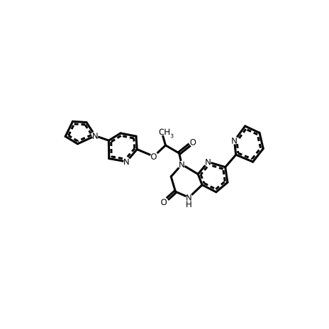 CC(Oc1ccc(-n2cccc2)cn1)C(=O)N1CC(=O)Nc2ccc(-c3ccccn3)nc21